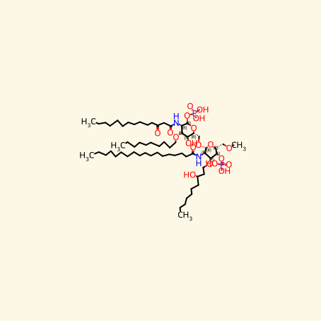 CCCCCCCCCCCCCCCCCC(=O)N[C@H]1[C@H](OC[C@H]2O[C@H](OP(=O)(O)O)[C@H](NC(=O)CC(=O)CCCCCCCCCCC)[C@@H](OCCCCCCCCCC)[C@@H]2O)O[C@H](COC)[C@@H](OP(=O)(O)O)[C@@H]1OCCC(O)CCCCCCC